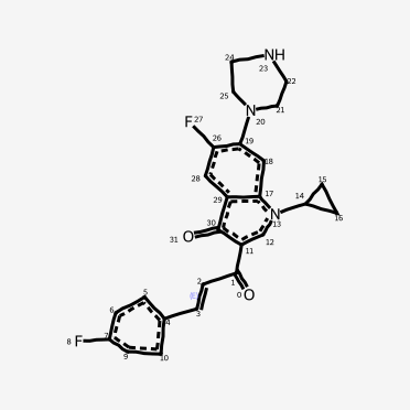 O=C(/C=C/c1ccc(F)cc1)c1cn(C2CC2)c2cc(N3CCNCC3)c(F)cc2c1=O